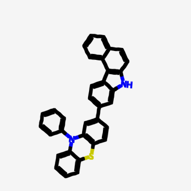 c1ccc(N2c3ccccc3Sc3ccc(-c4ccc5c(c4)[nH]c4ccc6ccccc6c45)cc32)cc1